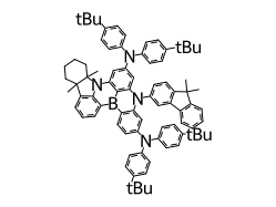 CC(C)(C)c1ccc(N(c2ccc(C(C)(C)C)cc2)c2ccc3c(c2)N(c2ccc4c(c2)-c2ccccc2C4(C)C)c2cc(N(c4ccc(C(C)(C)C)cc4)c4ccc(C(C)(C)C)cc4)cc4c2B3c2cccc3c2N4C2(C)CCCCC32C)cc1